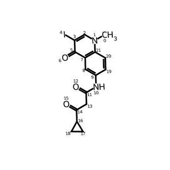 Cn1cc(I)c(=O)c2cc(NC(=O)CC(=O)C3CC3)ccc21